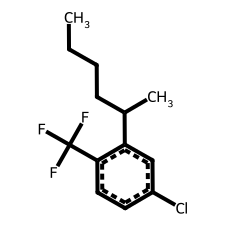 CCCCC(C)c1cc(Cl)ccc1C(F)(F)F